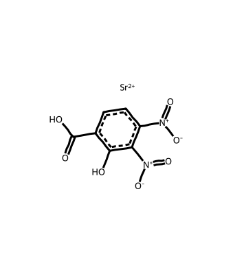 O=C(O)c1ccc([N+](=O)[O-])c([N+](=O)[O-])c1O.[Sr+2]